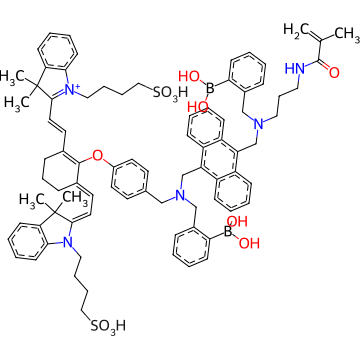 C=C(C)C(=O)NCCCN(Cc1ccccc1B(O)O)Cc1c2ccccc2c(CN(Cc2ccc(OC3=C(/C=C/C4=[N+](CCCCS(=O)(=O)O)c5ccccc5C4(C)C)CCC/C3=C\C=C3\N(CCCCS(=O)(=O)O)c4ccccc4C3(C)C)cc2)Cc2ccccc2B(O)O)c2ccccc12